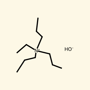 CCC[N+](CC)(CCC)CCC.[OH-]